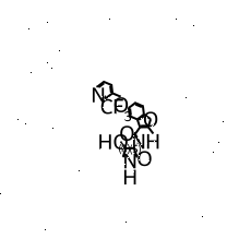 Cc1oc2ccc(OCc3cccnc3C(F)(F)F)cc2c1C(=O)N[C@@H]1C(=O)NC[C@H]1O